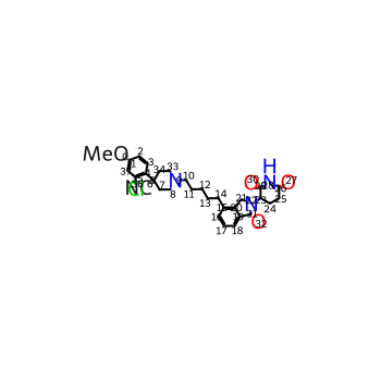 COc1ccc(C2(C#N)CCN(CCCCCc3cccc4c3CN(C3CCC(=O)NC3=O)C4=O)CC2)c(Cl)c1